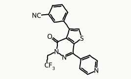 N#Cc1cccc(-c2csc3c(-c4ccncc4)nn(CC(F)(F)F)c(=O)c23)c1